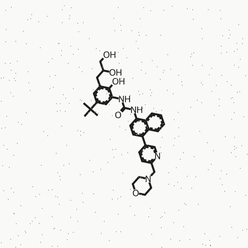 CC(C)(C)c1cc(CC(O)CO)c(O)c(NC(=O)Nc2ccc(-c3ccc(CN4CCOCC4)nc3)c3ccccc23)c1